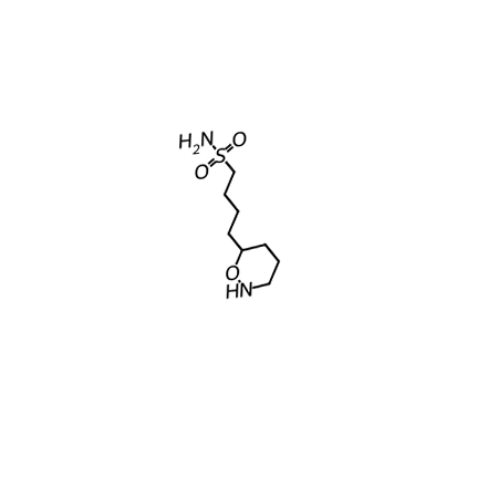 NS(=O)(=O)CCCCC1CCCNO1